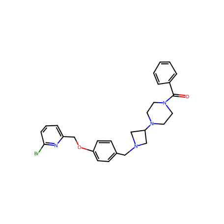 O=C(c1ccccc1)N1CCN(C2CN(Cc3ccc(OCc4cccc(Br)n4)cc3)C2)CC1